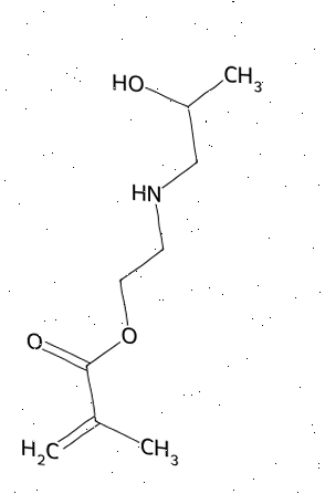 C=C(C)C(=O)OCCNCC(C)O